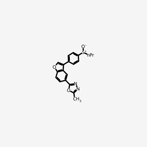 CCC[S+]([O-])c1ccc(-c2coc3ccc(-c4nnc(C)o4)cc23)cc1